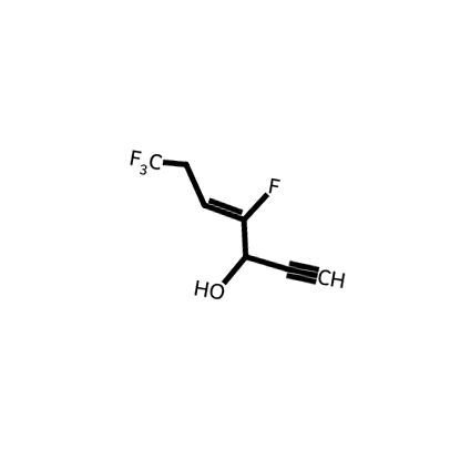 C#CC(O)/C(F)=C/CC(F)(F)F